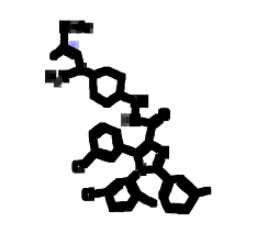 CC(=O)N/C(C)=C/N(N)C1CCC(BNC(=O)c2nc(-c3cccc(C)c3)n(-c3cc(Cl)ccc3C)c2-c2cccc(Cl)c2)CC1